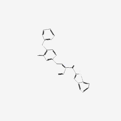 C=C/C(=C\Cc1ccc(Cc2ccccc2)c(C)c1)C(=C)c1cc2ccccc2[nH]1